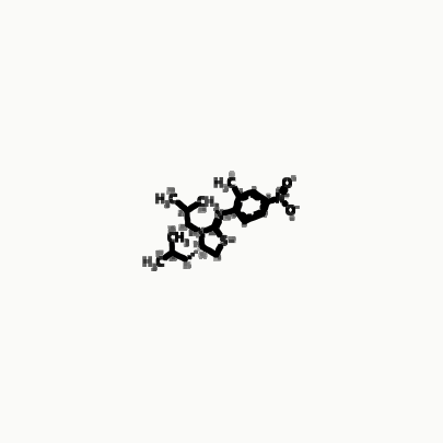 Cc1cc([N+](=O)[O-])ccc1N=C1SC[C@H](CC(C)C)N1CC(C)C